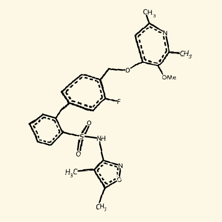 COc1c(OCc2ccc(-c3ccccc3S(=O)(=O)Nc3noc(C)c3C)cc2F)cc(C)nc1C